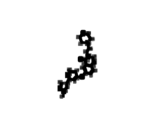 Cn1cc(-c2cc(Oc3ccc4ncn(CCN5CCOCC5)c(=O)c4c3)ccn2)cn1